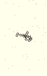 N/C(=N\C(=N/Cc1ccc(-c2cccc3ccccc23)cc1)c1ccc2ccccc2c1)c1cccc(-c2cccc3oc4ccccc4c23)c1